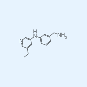 CCc1cncc(Nc2cccc(CN)c2)c1